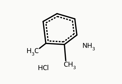 Cc1ccccc1C.Cl.N